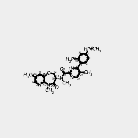 CPc1ccc(-c2nc(C(=O)N(C)[C@H]3COc4cc(C)cnc4N(C)C3=O)ncc2C)c(P)c1